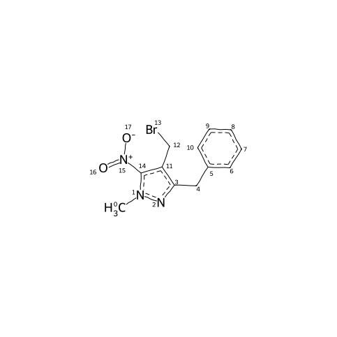 Cn1nc(Cc2ccccc2)c(CBr)c1[N+](=O)[O-]